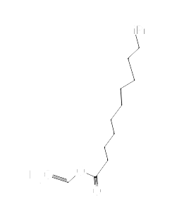 C=COC(=O)CCCCCCCCCC(C)C